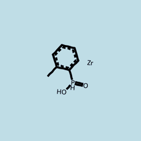 Cc1ccccc1[PH](=O)O.[Zr]